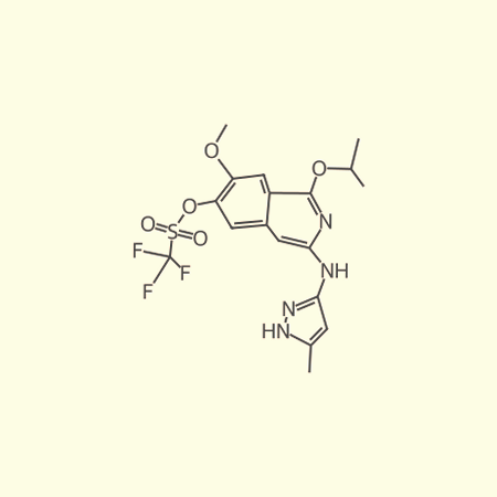 COc1cc2c(OC(C)C)nc(Nc3cc(C)[nH]n3)cc2cc1OS(=O)(=O)C(F)(F)F